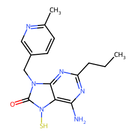 CCCc1nc(N)c2c(n1)n(Cc1ccc(C)nc1)c(=O)n2S